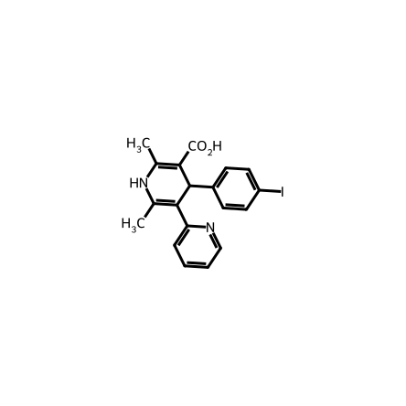 CC1=C(C(=O)O)C(c2ccc(I)cc2)C(c2ccccn2)=C(C)N1